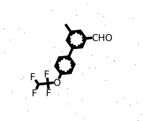 Cc1cc(C=O)cc(-c2ccc(OC(F)(F)C(F)F)cc2)c1